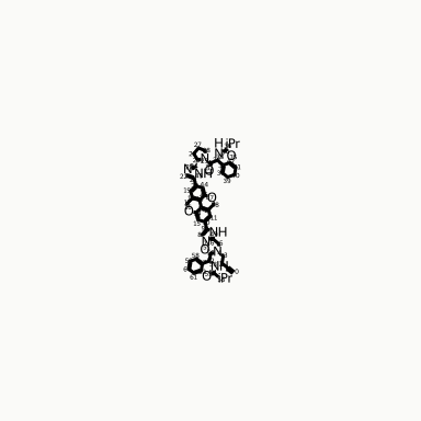 C#CCCN(Cc1ncc(-c2cc3c4c(c2)OCc2cc(-c5cnc([C@@H]6CCCN6C(=O)[C@H](NC(=O)C(C)C)C6=CCCC=C6)[nH]5)cc(c2-4)OC3)[nH]1)C(=O)[C@H](NC(=O)C(C)C)c1ccccc1